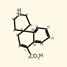 O=C(O)C1=CCC2(CCNCC2)c2ccccc21